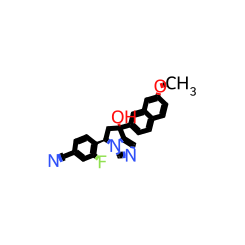 COc1ccc2ccc([C@@]3(O)C[C@H](c4ccc(C#N)cc4F)n4cncc43)cc2c1